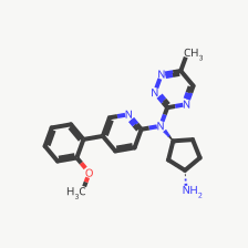 COc1ccccc1-c1ccc(N(c2ncc(C)nn2)[C@H]2CC[C@H](N)C2)nc1